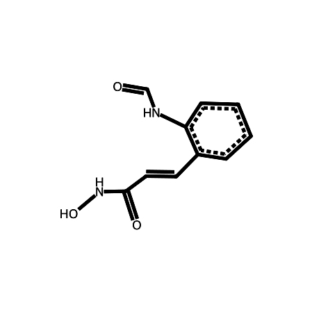 O=CNc1ccccc1/C=C/C(=O)NO